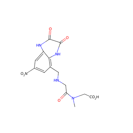 CN(CC(=O)O)C(=O)CNCc1cc([N+](=O)[O-])cc2[nH]c(=O)c(=O)[nH]c12